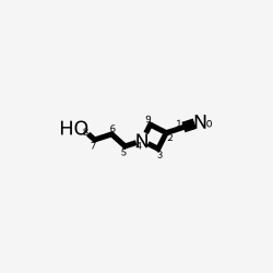 N#CC1CN(CCCO)C1